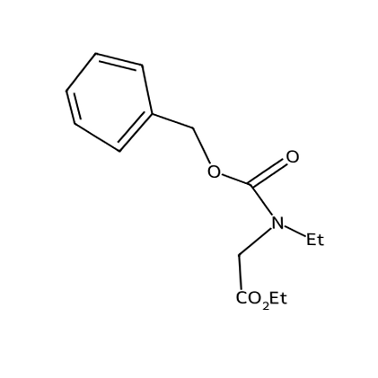 CCOC(=O)CN(CC)C(=O)OCc1ccccc1